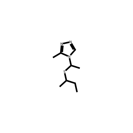 CCC(C)SC(C)n1cnnc1C